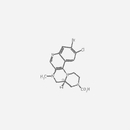 CN1C[C@H]2CN(C(=O)O)CCN2c2c1cnc1cc(Br)c(Cl)cc21